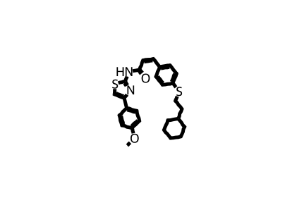 COc1ccc(-c2csc(NC(=O)/C=C\c3ccc(SCCC4CCCCC4)cc3)n2)cc1